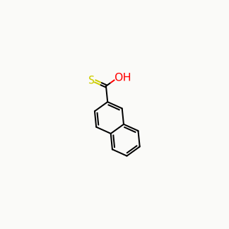 OC(=S)c1ccc2ccccc2c1